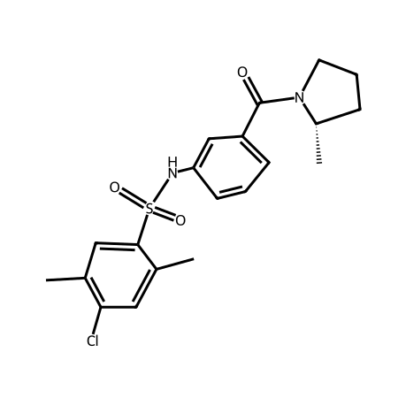 Cc1cc(S(=O)(=O)Nc2cccc(C(=O)N3CCC[C@@H]3C)c2)c(C)cc1Cl